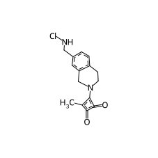 Cc1c(N2CCc3ccc(CNCl)cc3C2)c(=O)c1=O